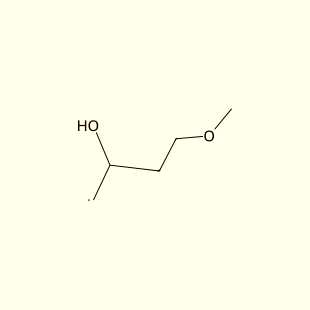 [CH2]C(O)CCOC